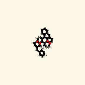 c1ccc2c(c1)Cc1ccccc1C2c1ncccc1-c1cccnc1N1c2ccccc2Cc2ccccc21